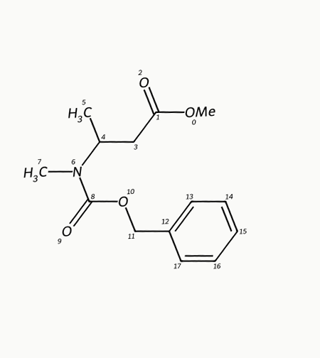 COC(=O)CC(C)N(C)C(=O)OCc1ccccc1